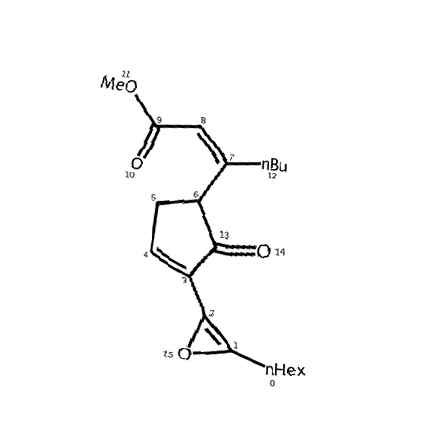 CCCCCCC1=C(C2=CCC(/C(=C\C(=O)OC)CCCC)C2=O)O1